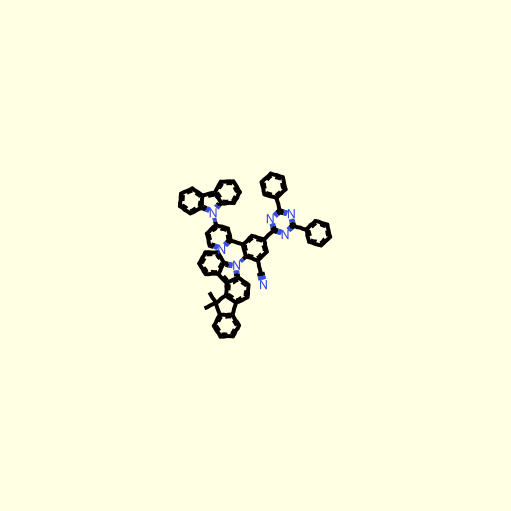 CC1(C)c2ccccc2-c2ccc3c(c21)c1ccccc1n3-c1c(C#N)cc(-c2nc(-c3ccccc3)nc(-c3ccccc3)n2)cc1-c1cc(-n2c3ccccc3c3ccccc32)ccn1